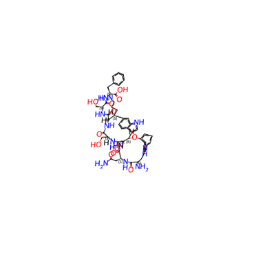 NCCC[C@H]1c2ccc3c(c[nH]c3c2)[C@H]2Oc3cccc4c(c[nH]c34)C[C@H](N)C(=O)N[C@@H](CC(N)=O)C(=O)N[C@@H]2C(=O)N[C@@H](CO)C(=O)N[C@@H]1C(=O)N[C@@H](CO)C(=O)N[C@@H](Cc1ccccc1)C(=O)O